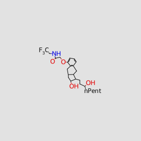 CCCCCC(O)CCC1C(O)CC2Cc3c(cccc3OCC(=O)NCC(F)(F)F)CC21